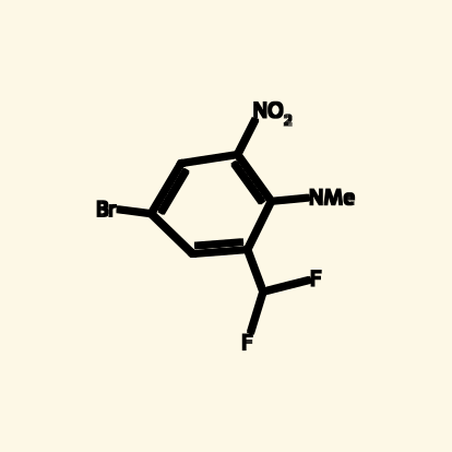 CNc1c(C(F)F)cc(Br)cc1[N+](=O)[O-]